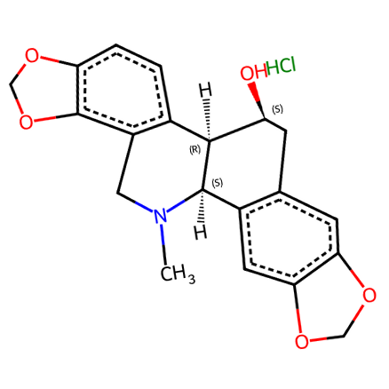 CN1Cc2c(ccc3c2OCO3)[C@@H]2[C@H]1c1cc3c(cc1C[C@@H]2O)OCO3.Cl